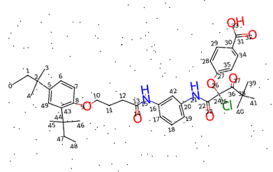 CCC(C)(C)c1ccc(OCCCC(=O)Nc2cccc(NC(=O)C(Cl)(Oc3ccc(C(=O)O)cc3)C(=O)C(C)(C)C)c2)c(C(C)(C)CC)c1